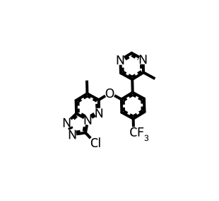 Cc1cc2nnc(Cl)n2nc1Oc1cc(C(F)(F)F)ccc1-c1cncnc1C